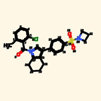 Cc1cccc(Cl)c1C(=O)n1cc(-c2ccc(S(=O)(=O)N3CCC3)cc2)c2c1CCCC2